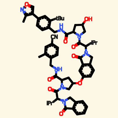 Cc1cc(C#N)ccc1CNC(=O)C1CC(Oc2ccc3c(c2)C(=O)N(C(C(=O)N2CC(O)CC2C(=O)NCc2ccc(-c4conc4C)cc2C(C)(C)C)C(C)C)C3)CN1C(=O)C(C(C)C)N1Cc2ccccc2C1=O